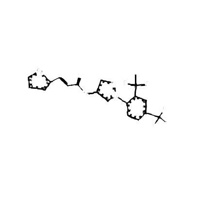 O=C(/C=C/c1ccco1)Nc1cnn(-c2ccc(C(F)(F)F)cc2C(F)(F)F)c1